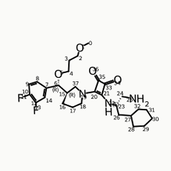 COCCCO[C@@H](c1ccc(F)c(F)c1)[C@@H]1CCCN(c2c(N[C@H](CN)CC3CCCCC3)c(=O)c2=O)C1